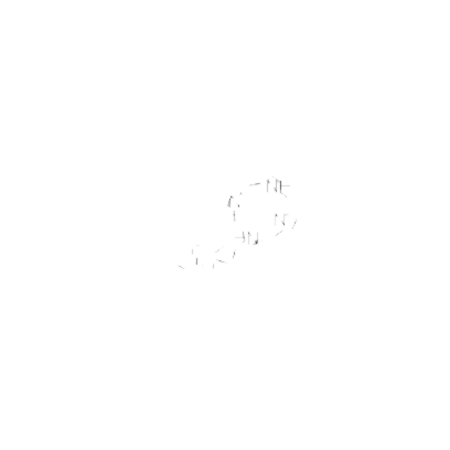 CCCC=CC(=O)Oc1ccc(-c2cc3cc4nc(cc5ccc(cc6nc(cc2[nH]3)C=C6)[nH]5)C=C4)cc1